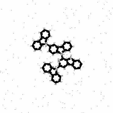 c1ccc2c(c1)sc1c(-n3c4ccccc4c4cc(-n5c6ccccc6c6ccccc65)ccc43)nc(-n3c4ccccc4c4ccccc43)cc12